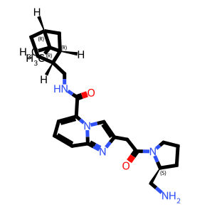 CC1(C)[C@@H]2CC[C@@H](CNC(=O)c3cccc4nc(CC(=O)N5CCC[C@H]5CN)cn34)[C@H]1C2